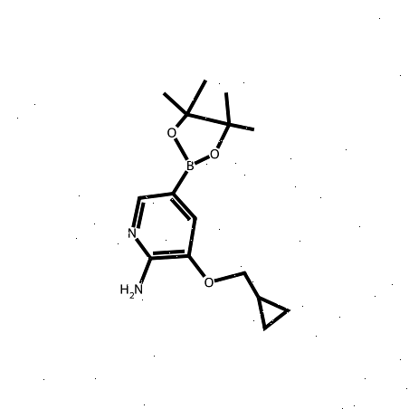 CC1(C)OB(c2cnc(N)c(OCC3CC3)c2)OC1(C)C